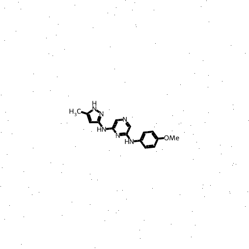 COc1ccc(Nc2cncc(Nc3cc(C)[nH]n3)n2)cc1